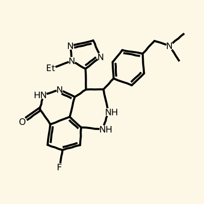 CCn1ncnc1C1c2n[nH]c(=O)c3cc(F)cc(c23)NNC1c1ccc(CN(C)C)cc1